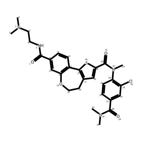 CN(C)CCNC(=O)c1ccc2c(c1)OCCc1cc(C(=O)N(C)c3ccc(C(=O)N(C)C)cc3Cl)sc1-2